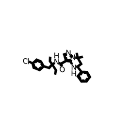 CCC(CC)(Cc1ccc(Cl)cc1)NC(=O)c1cnn2c1NC(c1ccccc1)CC2(C)C